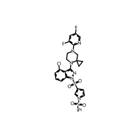 CC(C)S(=O)(=O)n1ccc(S(=O)(=O)n2nc(N3CCN(c4ncc(F)cc4F)CC34CC4)c3c(Cl)cccc32)c1